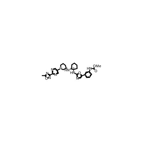 COC(=O)Nc1cccc(-c2cnc(N[C@@H]3CCCC[C@H]3N[C@H]3CCCN(c4cnc(-c5noc(C)n5)nc4)C3)o2)c1